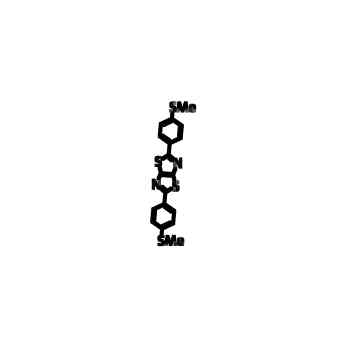 CSc1ccc(-c2nc3sc(-c4ccc(SC)cc4)nc3s2)cc1